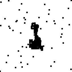 CCC(C)(C)N(C(=O)OC(C)n1c(=O)ccc2ccc(OCCCCN3CCN(c4cccc(Cl)c4Cl)CC3)cc21)C(C)C